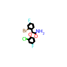 NC(=O)C(Oc1ccc(F)cc1Cl)c1ccc(F)cc1Br